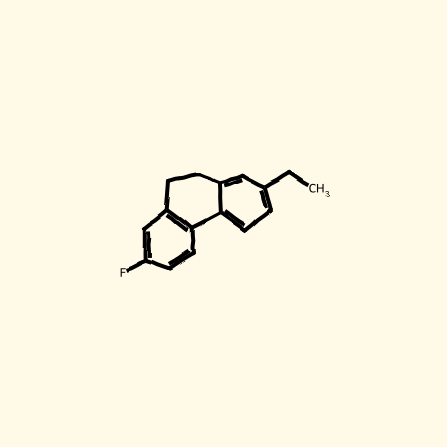 CCc1ccc2c(c1)CCc1cc(F)ccc1-2